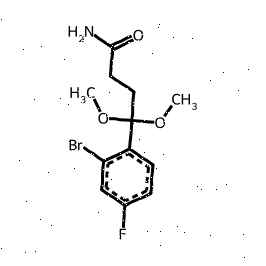 COC(CCC(N)=O)(OC)c1ccc(F)cc1Br